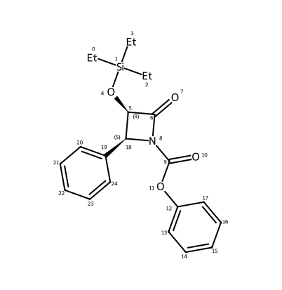 CC[Si](CC)(CC)O[C@H]1C(=O)N(C(=O)Oc2ccccc2)[C@H]1c1ccccc1